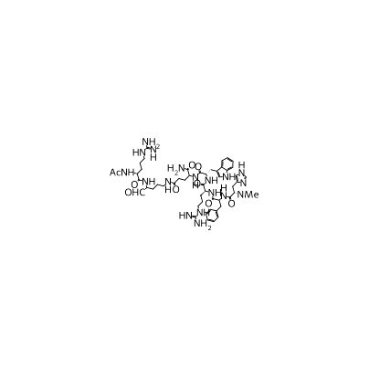 CN[C@@H](Cc1c[nH]cn1)C(=O)NC(Cc1ccccc1)C(=O)N[C@@H](CCCNC(=N)N)C(=O)N[C@@H](Cc1c[nH]c2ccccc12)C(=O)NC(CCC(=O)NCCCC(C=O)NC(=O)[C@H](CCCNC(=N)N)NC(C)=O)C(N)=O